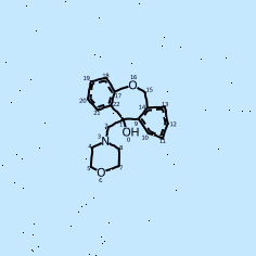 OC1(CN2CCOCC2)c2ccccc2COc2ccccc21